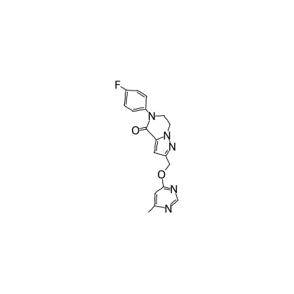 Cc1cc(OCc2cc3n(n2)CCN(c2ccc(F)cc2)C3=O)ncn1